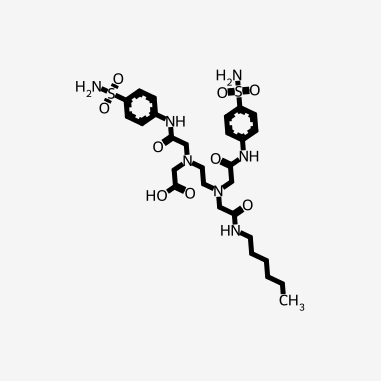 CCCCCCNC(=O)CN(CCN(CC(=O)O)CC(=O)Nc1ccc(S(N)(=O)=O)cc1)CC(=O)Nc1ccc(S(N)(=O)=O)cc1